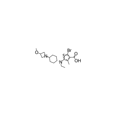 CCN(c1sc(Br)c(C(=O)O)c1C)[C@H]1CC[C@H](N2CC(OC)C2)CC1